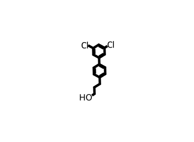 OCCCc1ccc(-c2cc(Cl)cc(Cl)c2)cc1